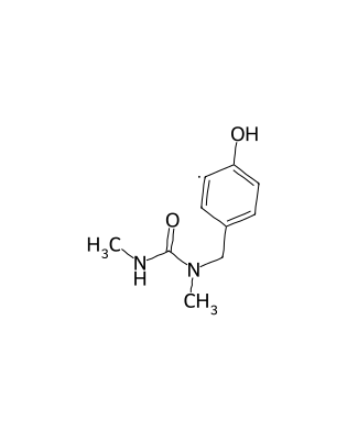 CNC(=O)N(C)Cc1c[c]c(O)cc1